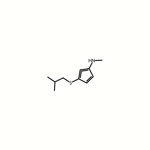 CNC1=C=C(SCC(C)C)C=C1